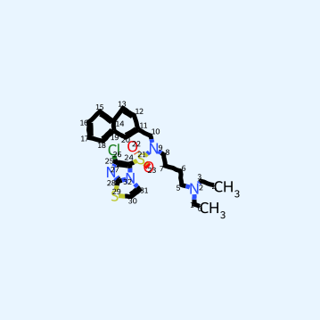 CCN(CC)CCCCN(Cc1ccc2ccccc2c1)S(=O)(=O)c1c(Cl)nc2sccn12